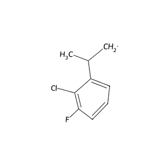 [CH2]C(C)c1cccc(F)c1Cl